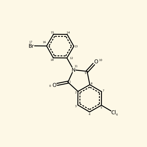 O=C1c2ccc(Cl)cc2C(=O)N1c1cccc(Br)c1